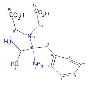 NC(O)C(N)(Cc1ccccc1)N(CC(=O)O)CC(=O)O